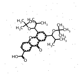 CC(C)C(OC(C)(C)C)c1cc(C(OC(C)(C)C)C(C)C)c2oc3ccc(C(=O)O)cc3c(=O)c2c1